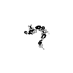 COC(=O)C12CCC(CCN3CCc4c(nc(C(=O)Nc5cccc(-c6cccc(Nc7nc(C(F)F)nc8cc(CN9CCCC9)cnc78)c6C)c5Cl)n4C)C3)(CC1)C2